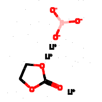 O=C1OCCO1.[Li+].[Li+].[Li+].[O-]B([O-])[O-]